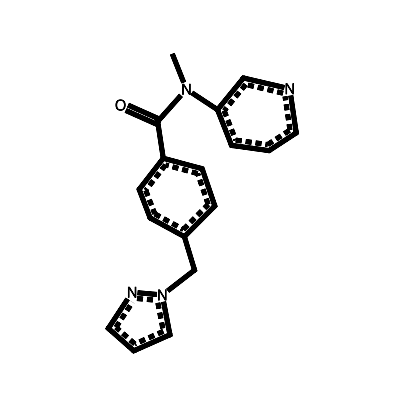 CN(C(=O)c1ccc(Cn2cccn2)cc1)c1cccnc1